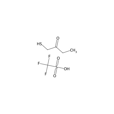 CCC(=O)CS.O=S(=O)(O)C(F)(F)F